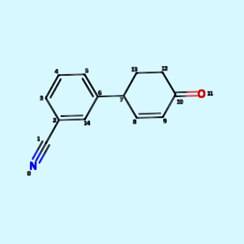 N#Cc1cccc(C2C=CC(=O)CC2)c1